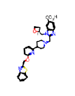 O=C(O)c1ccc2nc(CN3CCC(c4cccc(OCc5nc6ccccc6s5)n4)CC3)n(C[C@@H]3CCO3)c2c1